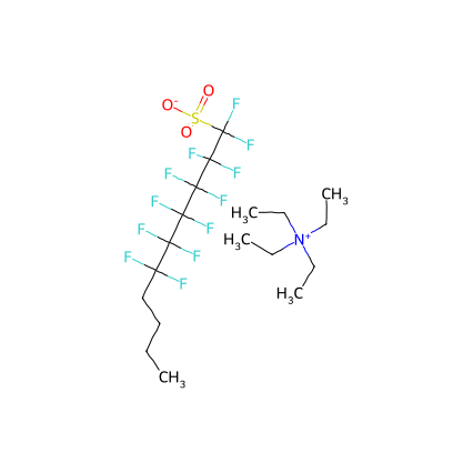 CCCCC(F)(F)C(F)(F)C(F)(F)C(F)(F)C(F)(F)C(F)(F)S(=O)(=O)[O-].CC[N+](CC)(CC)CC